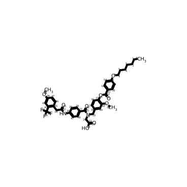 CCCCCCCOc1ccc(C(=O)Oc2ccc(CN(CC(=O)O)C(=O)c3ccc(NC(=O)Cc4ccc(OC)cc4C(F)(F)F)cc3)cc2OC)cc1